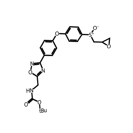 CC(C)(C)OC(=O)NCc1nc(-c2ccc(Oc3ccc([S+]([O-])CC4CO4)cc3)cc2)no1